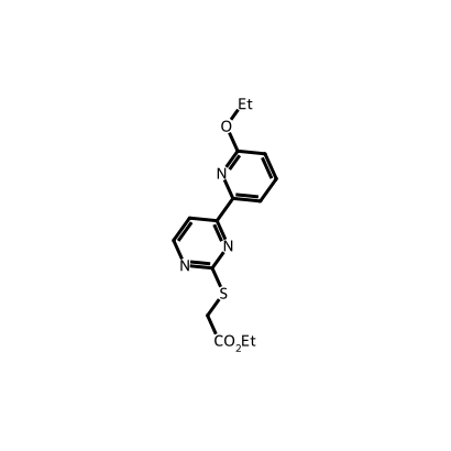 CCOC(=O)CSc1nccc(-c2cccc(OCC)n2)n1